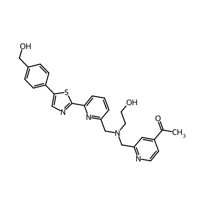 CC(=O)c1ccnc(CN(CCO)Cc2cccc(-c3ncc(-c4ccc(CO)cc4)s3)n2)c1